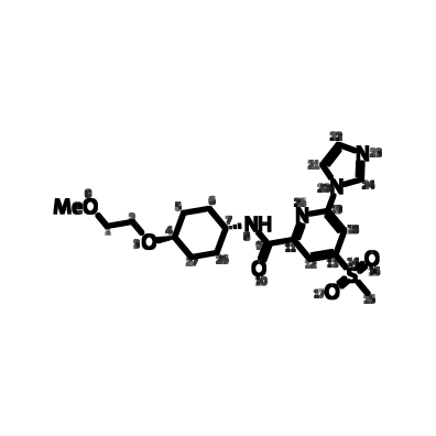 COCCO[C@H]1CC[C@H](NC(=O)c2cc(S(C)(=O)=O)cc(-n3ccnc3)n2)CC1